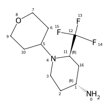 N[C@@H]1CCN(C2CCOCC2)[C@@H](C(F)(F)F)C1